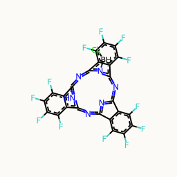 Fc1c(F)c(F)c2c(c1F)-c1nc-2nc2c3c(F)c(F)c(F)c(F)c3c(nc3[nH]c(n1)c1c(F)c(F)c(F)c(F)c31)n2BCl